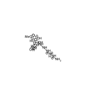 COc1cccc2c1C(=O)c1c(O)c3c(c(O)c1C2=O)C[C@@](O)(C(=O)NCCCNCCCNC(=O)CNC(=O)CNC(=O)CCN)C[C@@H]3O[C@H]1C[C@H]2[C@H](O[C@@H]3COCCN32)[C@H](C)O1